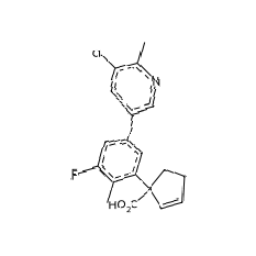 Cc1ncc(-c2cc(F)c(C)c(C3(C(=O)O)C=CCC3)c2)cc1Cl